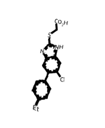 CCc1ccc(-c2cc3nc(SCC(=O)O)[nH]c3cc2Cl)cc1